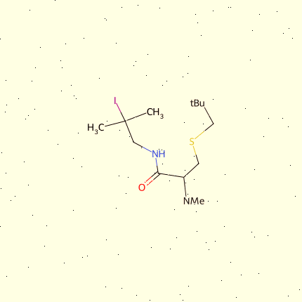 CNC(CSCC(C)(C)C)C(=O)NCC(C)(C)I